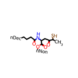 CCCCCCCCCCCCCC(=O)NC(CC(=O)C(C)S)C(=O)OCCCCCCCCC